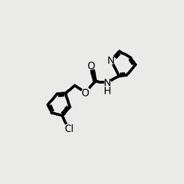 O=C(Nc1ccccn1)OCc1cccc(Cl)c1